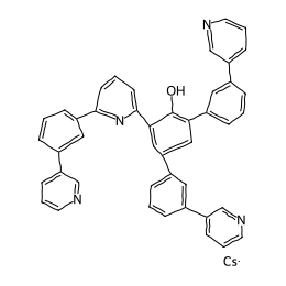 Oc1c(-c2cccc(-c3cccnc3)c2)cc(-c2cccc(-c3cccnc3)c2)cc1-c1cccc(-c2cccc(-c3cccnc3)c2)n1.[Cs]